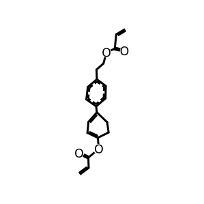 C=CC(=O)OCCc1ccc(C2=CC=C(OC(=O)C=C)CC2)cc1